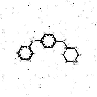 c1cc[c]([Sn][c]2ccc(OC3CCNCC3)cc2)cc1